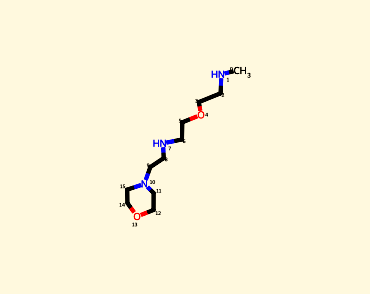 CNCCOCCNCCN1CCOCC1